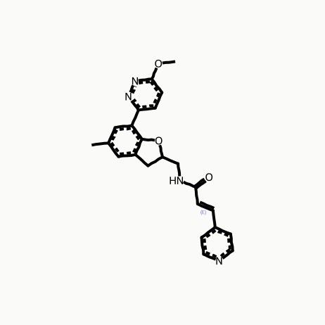 COc1ccc(-c2cc(C)cc3c2OC(CNC(=O)/C=C/c2ccncc2)C3)nn1